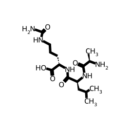 CC(C)C[C@H](NC(=O)[C@@H](C)N)C(=O)N[C@@H](CCCNC(N)=O)C(=O)O